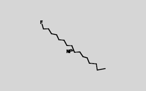 CCCCCCCCCCCCCCCCF.[Ni+2]